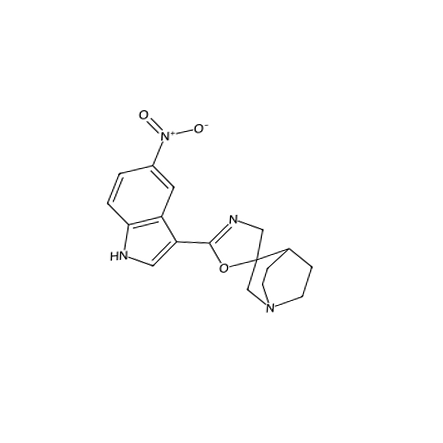 O=[N+]([O-])c1ccc2[nH]cc(C3=NCC4(CN5CCC4CC5)O3)c2c1